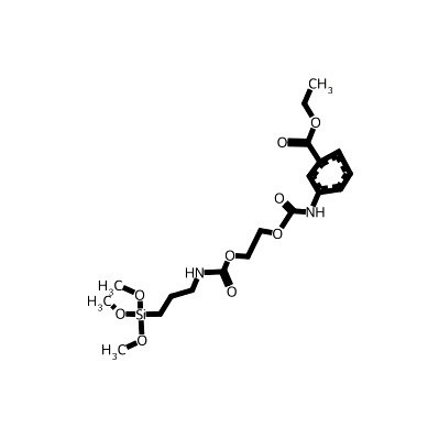 CCOC(=O)c1cccc(NC(=O)OCCOC(=O)NCCC[Si](OC)(OC)OC)c1